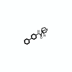 O=C(Nc1ccc(-c2ccccc2)cc1)[C@H]1CN2CCC1CC2